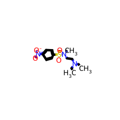 CCN(CC)CCN(C)S(=O)(=O)c1ccc([N+](=O)[O-])cc1